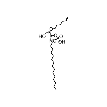 C=CCCCCO[C@@H](CO)[C@@H](CCCCCCCCCCCCCCCC)OP(=O)(O)O